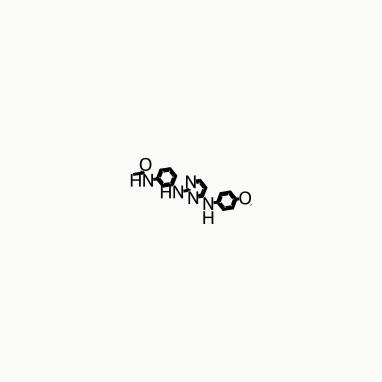 COc1ccc(Nc2ccnc(Nc3cccc(NC(C)=O)c3)n2)cc1